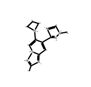 Cc1nc2cc(-c3ncn(C)n3)c(N3CCC3)cn2n1